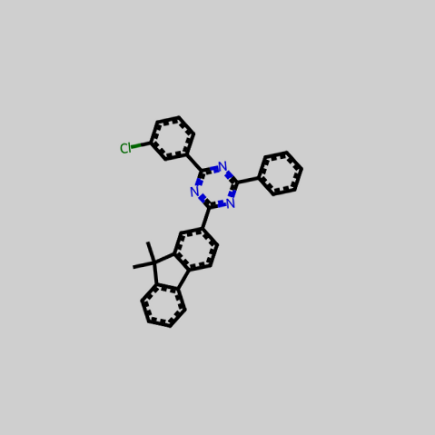 CC1(C)c2ccccc2-c2ccc(-c3nc(-c4ccccc4)nc(-c4cccc(Cl)c4)n3)cc21